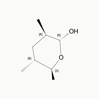 C[C@@H]1C[C@@H](C)[C@H](O)O[C@H]1C